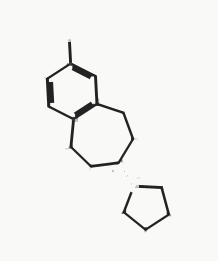 Cc1ccc2c(c1)CC[C@H](N1CCCC1)CC2